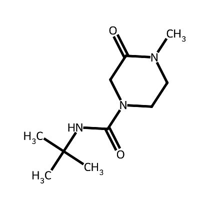 CN1CCN(C(=O)NC(C)(C)C)CC1=O